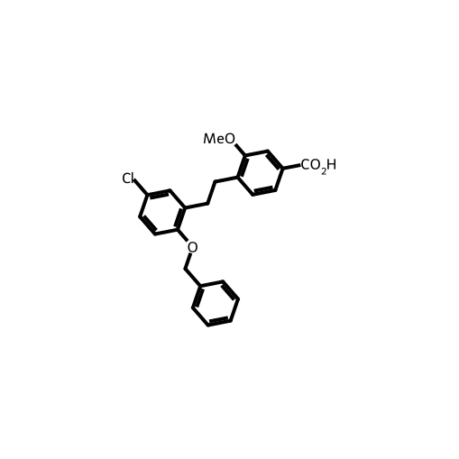 COc1cc(C(=O)O)ccc1CCc1cc(Cl)ccc1OCc1ccccc1